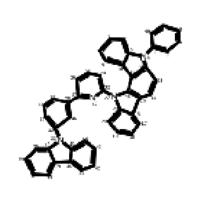 c1ccc(-n2c3ccccc3c3c2ccc2c4ccccc4n(-c4cccc(-c5cccc(-n6c7ccccc7c7ccccc76)c5)n4)c23)cc1